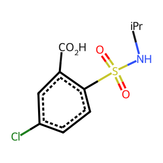 CC(C)NS(=O)(=O)c1ccc(Cl)cc1C(=O)O